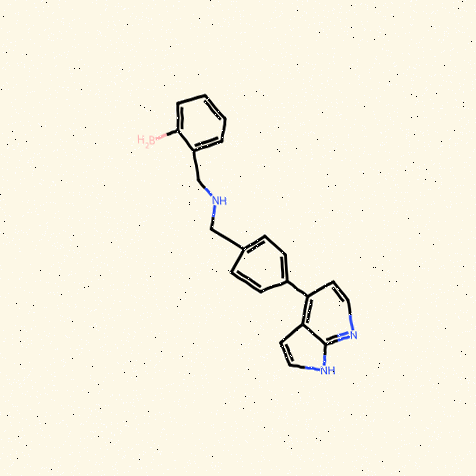 Bc1ccccc1CNCc1ccc(-c2ccnc3[nH]ccc23)cc1